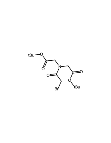 CC(C)(C)OC(=O)CN(CC(=O)OC(C)(C)C)C(=O)CBr